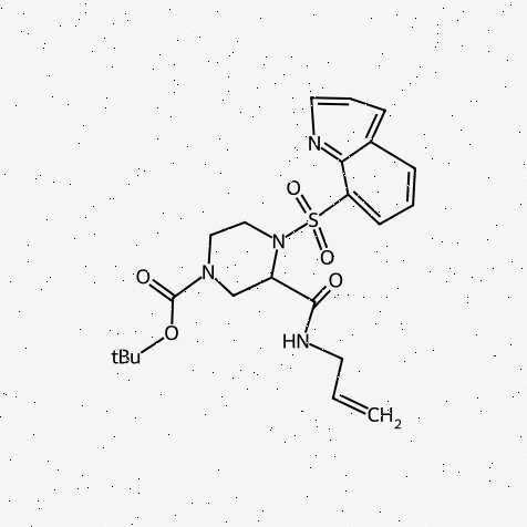 C=CCNC(=O)C1CN(C(=O)OC(C)(C)C)CCN1S(=O)(=O)c1cccc2cccnc12